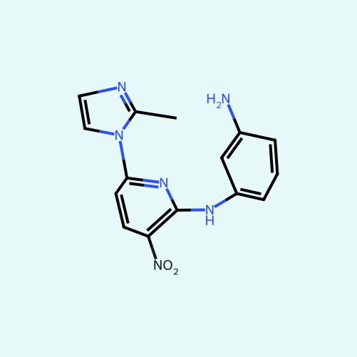 Cc1nccn1-c1ccc([N+](=O)[O-])c(Nc2cccc(N)c2)n1